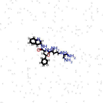 NCC(CN)NCCC[C@H](N)C(=O)N[C@@H](CCc1ccccc1)C(=O)Nc1cnc2ccccc2c1